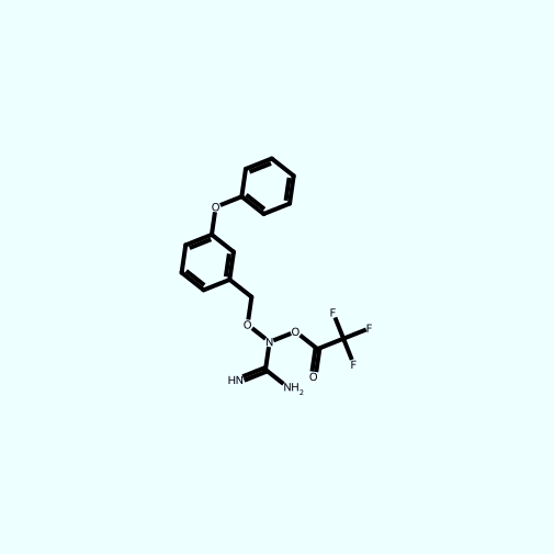 N=C(N)N(OCc1cccc(Oc2ccccc2)c1)OC(=O)C(F)(F)F